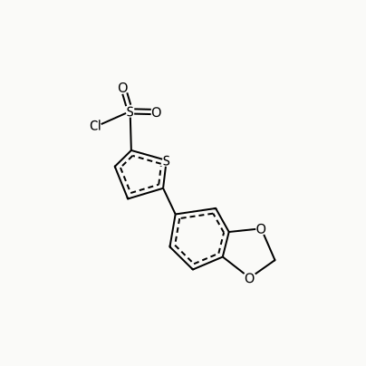 O=S(=O)(Cl)c1ccc(-c2ccc3c(c2)OCO3)s1